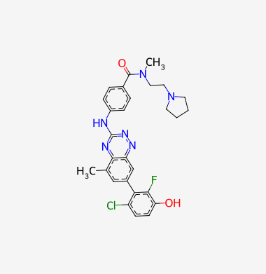 Cc1cc(-c2c(Cl)ccc(O)c2F)cc2nnc(Nc3ccc(C(=O)N(C)CCN4CCCC4)cc3)nc12